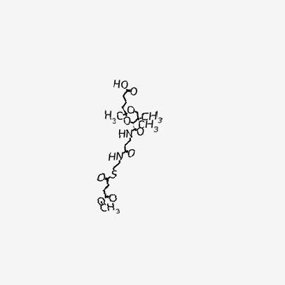 COC(=O)CCC(=O)SCCNC(=O)CCNC(=O)[C@@H]1OC(C)(CCCC(=O)O)OCC1(C)C